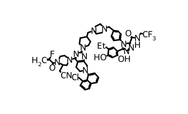 C=C(F)C(=O)N1CCN(c2nc(N3CCC(CN4CCN(Cc5ccc(-n6c(C(=O)NCC(F)(F)F)nnc6-c6cc(CC)c(O)cc6O)cc5)CC4)CC3)nc3c2CCN(c2cccc4cccc(Cl)c24)C3)CC1CC#N